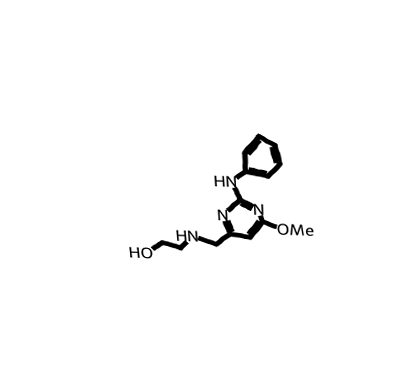 COc1cc(CNCCO)nc(Nc2ccccc2)n1